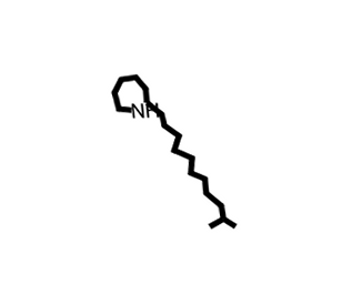 CC(C)CCCCCCCCCC1CCCCCN1